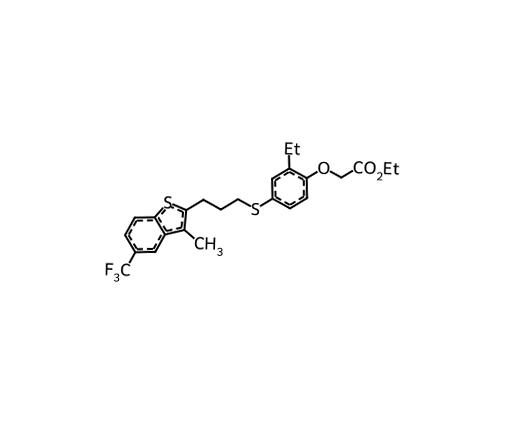 CCOC(=O)COc1ccc(SCCCc2sc3ccc(C(F)(F)F)cc3c2C)cc1CC